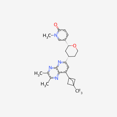 Cc1nc2nc([C@H]3CCO[C@@H](c4ccc(=O)n(C)c4)C3)cc(C34CC(C(F)(F)F)(C3)C4)c2nc1C